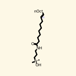 CCCCCCCC/C=C/CCCCCCCC(=O)NCCC[N+](C)(C)O